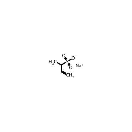 C=CC(C)S(=O)(=O)[O-].[Na+]